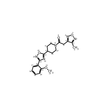 Cc1nonc1CC(=O)N1CCC(c2nc(-c3ccccc3OC(F)(F)F)no2)CC1